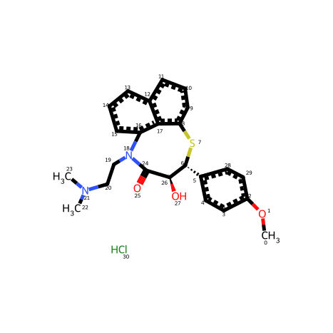 COc1ccc([C@H]2Sc3cccc4cccc(c34)N(CCN(C)C)C(=O)[C@@H]2O)cc1.Cl